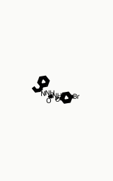 CCC(=NNC(=O)NOc1ccc(Br)cc1)c1ccccc1